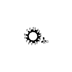 C[SiH](C)Cl.FC1C(F)C(F)(F)C(F)(F)C(F)(F)C(F)(F)C(F)(F)C(F)(F)C(F)C1(F)F